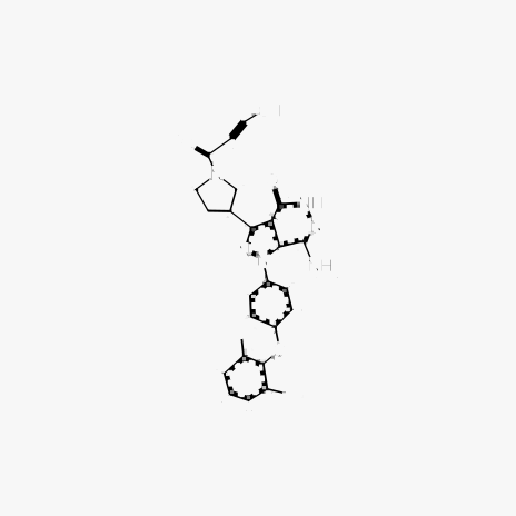 CC#CC(=O)N1CCC(c2nn(-c3ccc(Oc4c(F)cccc4F)cc3)c3c(N)n[nH]c(=O)c23)C1